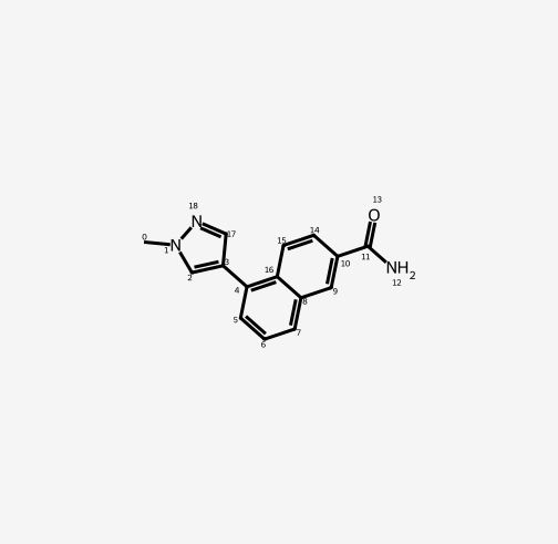 Cn1cc(-c2cccc3cc(C(N)=O)ccc23)cn1